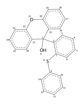 OC1(c2ccccc2Sc2ccccc2)c2ccccc2Oc2ccccc21